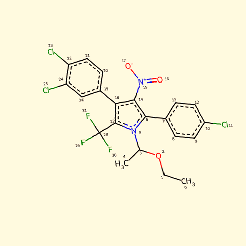 CCOC(C)n1c(-c2ccc(Cl)cc2)c([N+](=O)[O-])c(-c2ccc(Cl)c(Cl)c2)c1C(F)(F)F